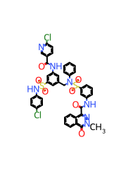 Cn1nc(C(=O)Nc2cccc(S(=O)(=O)N(Cc3cc(NC(=O)c4ccc(Cl)nc4)cc(S(=O)(=O)Nc4ccc(Cl)cc4)c3)c3ccccc3)c2)c2ccccc2c1=O